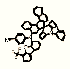 N#Cc1ccc(N(c2cc3c(c4ccccc24)-c2c(ccc4ccccc24)C32c3ccccc3-n3c4ccccc4c4cccc2c43)c2cccc3c2oc2c(C(F)(F)F)cccc23)cc1